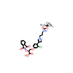 CC(C)(C)OC(=O)NCCCn1cc(-c2ccc(OCC(ON3C(=O)c4ccccc4C3=O)C(=O)O)cc2Cl)cn1